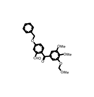 COCOc1cc(C(=O)c2ccc(OCc3ccccc3)cc2C=O)cc(OC)c1OC